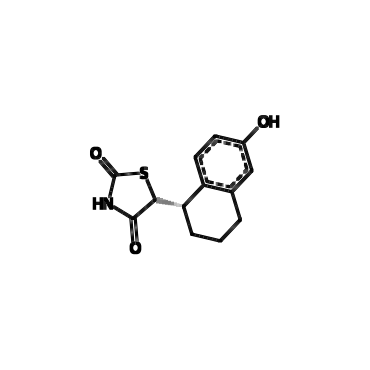 O=C1NC(=O)C([C@H]2CCCc3cc(O)ccc32)S1